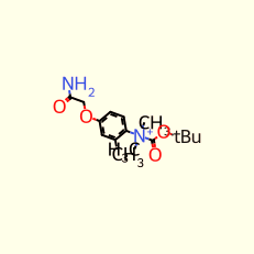 Cc1cc(OCC(N)=O)ccc1[N+](C)(C)C(=O)OC(C)(C)C